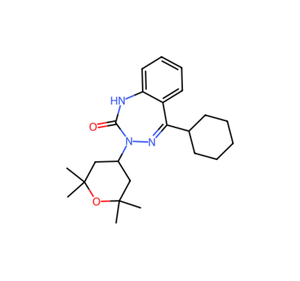 CC1(C)CC(N2N=C(C3CCCCC3)c3ccccc3NC2=O)CC(C)(C)O1